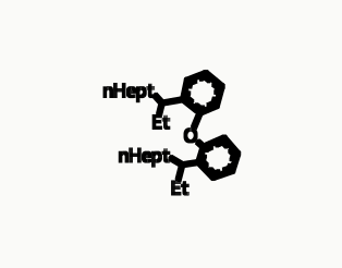 CCCCCCCC(CC)c1ccccc1Oc1ccccc1C(CC)CCCCCCC